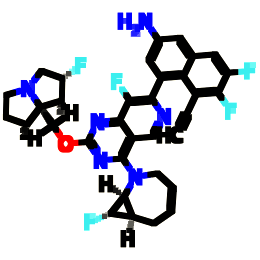 [2H]C([2H])(Oc1nc(N2CC=CC[C@H]3[C@H](F)[C@H]32)c2cnc(-c3cc(N)cc4cc(F)c(F)c(C#C)c34)c(F)c2n1)[C@@]12CCCN1C[C@H](F)C2